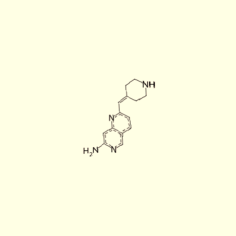 Nc1cc2nc(C=C3CCNCC3)ccc2cn1